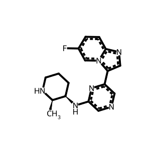 C[C@H]1NCCC[C@H]1Nc1cncc(-c2cnc3ccc(F)cn23)n1